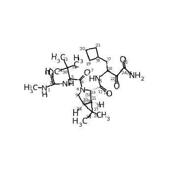 CNC(=O)N[C@H](C(=O)N1C[C@H]2[C@@H]([C@H]1C(=O)NC(CC1CCC1)C(=O)C(N)=O)C2(C)C)C(C)(C)C